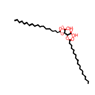 CCCCCCCCCCCCCCCCCC(=O)O[C@H](C(=O)O)[C@H](OC(=O)CCCCCCCCCCCCCCCCC)C(=O)O